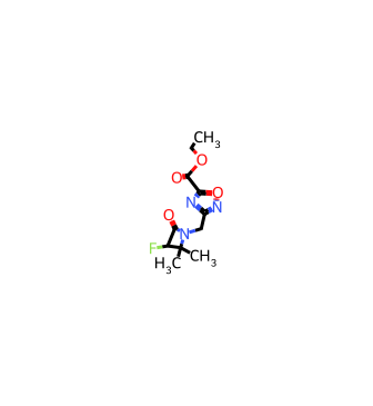 CCOC(=O)c1nc(CN2C(=O)C(F)C2(C)C)no1